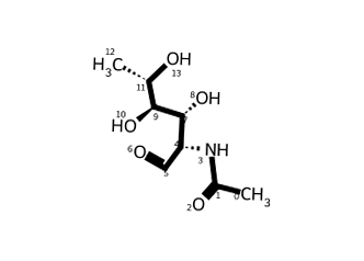 CC(=O)N[C@H](C=O)[C@@H](O)[C@@H](O)[C@H](C)O